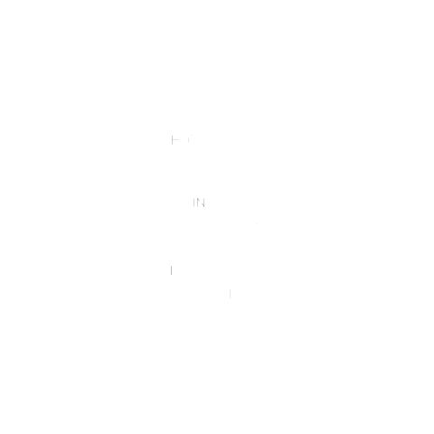 CCNC(=S)C(F)F